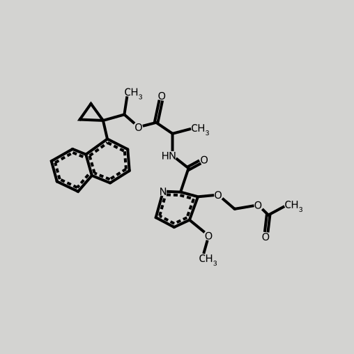 COc1ccnc(C(=O)NC(C)C(=O)OC(C)C2(c3cccc4ccccc34)CC2)c1OCOC(C)=O